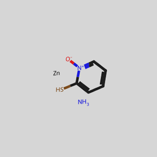 N.[O-][n+]1ccccc1S.[Zn]